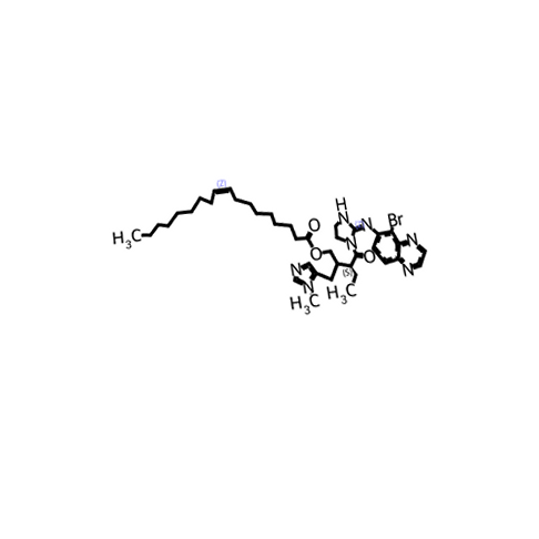 CCCCCCCC/C=C\CCCCCCCC(=O)OCC(Cc1cncn1C)[C@H](CC)C(=O)N1CCN/C1=N/c1ccc2nccnc2c1Br